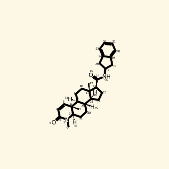 CN1C(=O)C=C[C@]2(C)[C@H]3CC[C@]4(C)[C@@H](C(=O)NC5Cc6ccccc6C5)CC[C@H]4[C@@H]3CC[C@@H]12